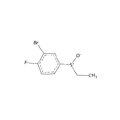 CC[S+]([O-])c1ccc(F)c(Br)c1